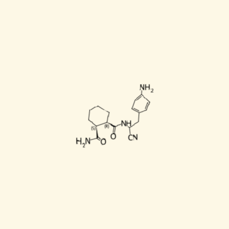 N#CC(Cc1ccc(N)cc1)NC(=O)[C@@H]1CCCC[C@@H]1C(N)=O